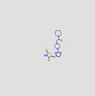 O=C1NC(=O)C(=Cc2ccnc(N3CCN(CC(=O)N4CCCCCC4)CC3)n2)S1